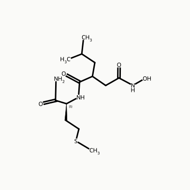 CSCC[C@H](NC(=O)C(CC(=O)NO)CC(C)C)C(N)=O